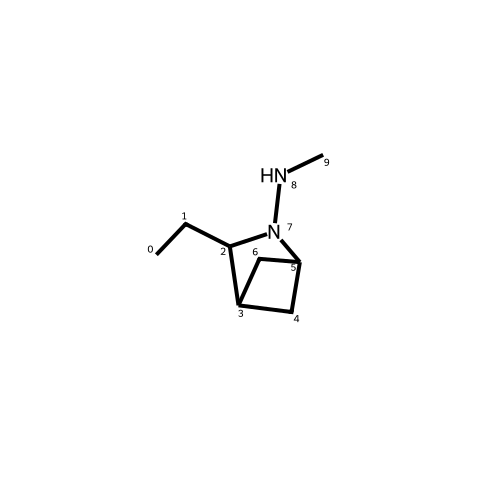 CCC1C2CC(C2)N1NC